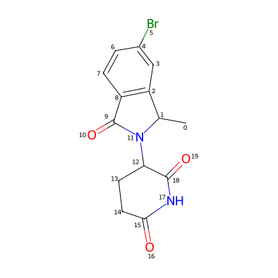 CC1c2cc(Br)ccc2C(=O)N1C1CCC(=O)NC1=O